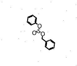 O=S(OCc1ccccc1)Oc1ccccc1